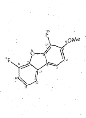 COc1ccc2c(oc3c(F)cccc32)c1F